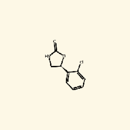 O=C1NC[C@H](c2ccccc2Cl)O1